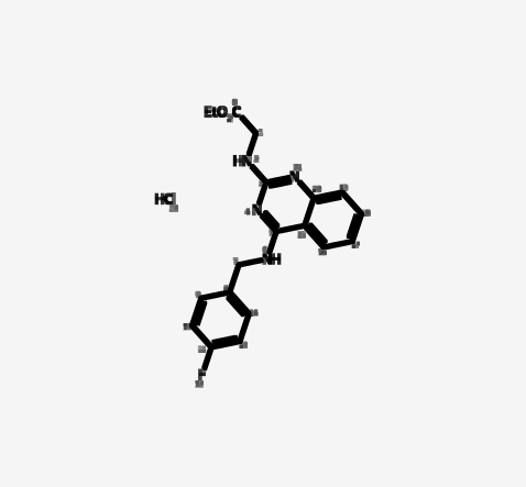 CCOC(=O)CNc1nc(NCc2ccc(F)cc2)c2ccccc2n1.Cl